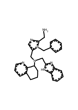 NCc1ncc(CN(Cc2nc3ccccc3[nH]2)C2CCCc3cccnc32)n1Cc1ccccc1